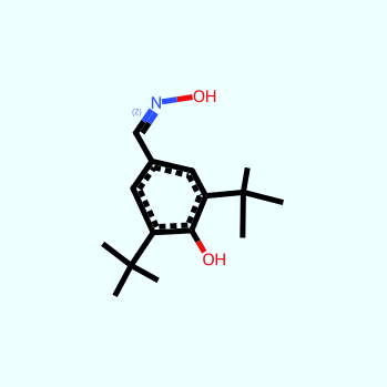 CC(C)(C)c1cc(/C=N\O)cc(C(C)(C)C)c1O